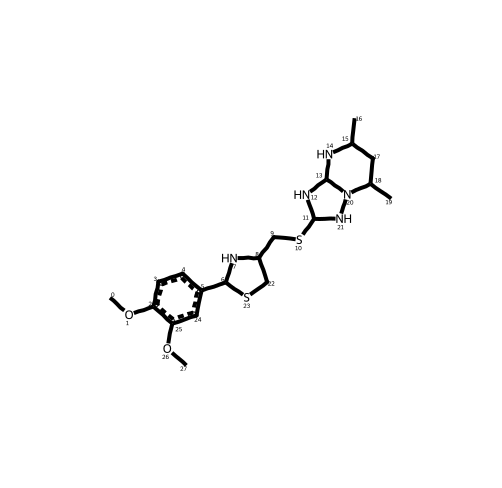 COc1ccc(C2NC(CSC3NC4NC(C)CC(C)N4N3)CS2)cc1OC